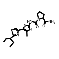 CCC(CC)c1nc(-c2sc(NC(=O)N3CCCC3C(N)=O)nc2C)cs1